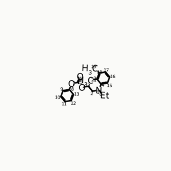 CCN(CCOC(=O)Oc1ccccc1)c1cccc(C)c1C